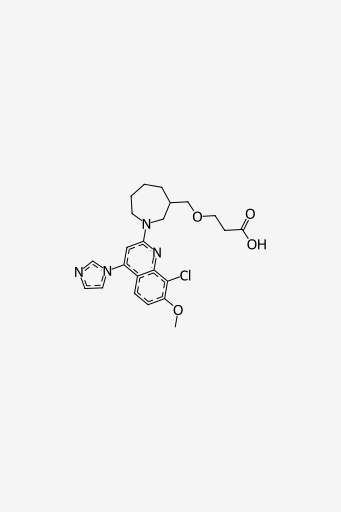 COc1ccc2c(-n3ccnc3)cc(N3CCCCC(COCCC(=O)O)C3)nc2c1Cl